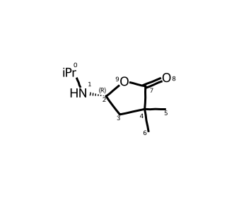 CC(C)N[C@H]1CC(C)(C)C(=O)O1